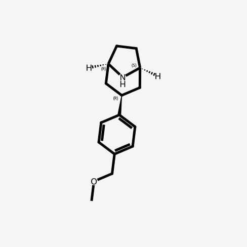 COCc1ccc([C@H]2C[C@H]3CC[C@@H](C2)N3)cc1